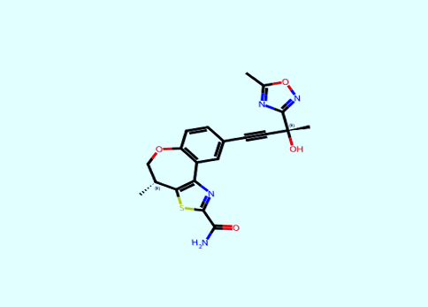 Cc1nc([C@](C)(O)C#Cc2ccc3c(c2)-c2nc(C(N)=O)sc2[C@H](C)CO3)no1